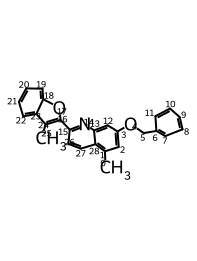 Cc1cc(OCc2ccccc2)cc2nc(-c3oc4ccccc4c3C)ccc12